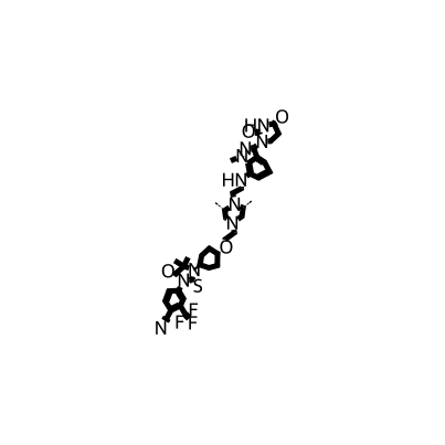 C[C@@H]1CN(CCO[C@H]2CC[C@H](N3C(=S)N(c4ccc(C#N)c(C(F)(F)F)c4)C(=O)C3(C)C)CC2)C[C@H](C)N1CCNc1cccc2c(N3CCC(=O)NC3=O)nn(C)c12